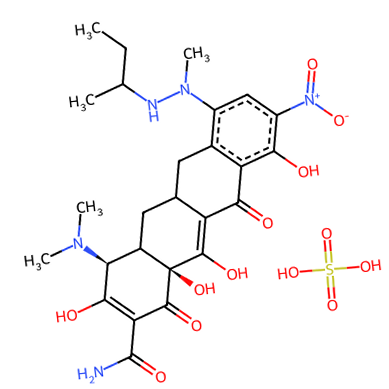 CCC(C)NN(C)c1cc([N+](=O)[O-])c(O)c2c1CC1CC3[C@H](N(C)C)C(O)=C(C(N)=O)C(=O)[C@@]3(O)C(O)=C1C2=O.O=S(=O)(O)O